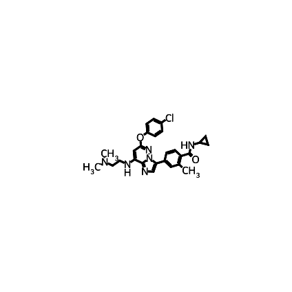 Cc1cc(-c2cnc3c(NCCN(C)C)cc(Oc4ccc(Cl)cc4)nn23)ccc1C(=O)NC1CC1